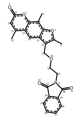 Cc1oc2c(C)c3oc(=O)cc(C)c3cc2c1COCCN1C(=O)c2ccccc2C1=O